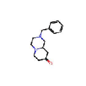 O=C1CCN2CCN(Cc3ccccc3)CC2C1